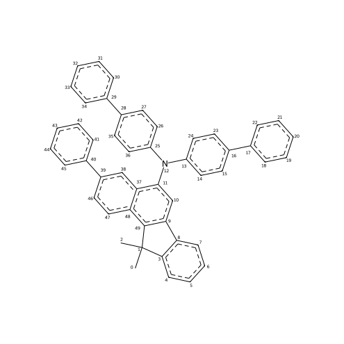 CC1(C)c2ccccc2-c2cc(N(c3ccc(-c4ccccc4)cc3)c3ccc(-c4ccccc4)cc3)c3cc(-c4ccccc4)ccc3c21